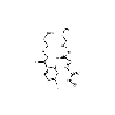 COCCCCC(=O)c1ccc(C(F)(F)F)cc1.NCCONC(=O)/C=C/C(=O)NO